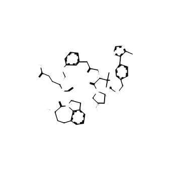 Cc1ncsc1-c1ccc([C@H](C)NC(=O)[C@@H]2C[C@@H](O)CN2C(=O)[C@@H](CC(=O)Cc2cccc(OC[C@H](CCC(N)=O)NC(=O)[C@@H]3Cc4cccc5c4N3C(=O)[C@@H](N)CC5)c2)C(C)(C)C)cc1